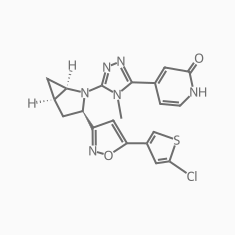 Cn1c(-c2cc[nH]c(=O)c2)nnc1N1[C@@H](c2cc(-c3csc(Cl)c3)on2)C[C@H]2C[C@H]21